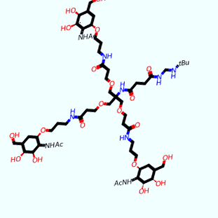 CC(=O)NC1[C@@H](O)[C@@H](O)C(CO)C[C@H]1OCCCNC(=O)CCOCC(COCCC(=O)NCCCO[C@@H]1CC(CO)[C@H](O)[C@H](O)C1NC(C)=O)(COCCC(=O)NCCCO[C@@H]1CC(CO)[C@H](O)[C@H](O)C1NC(C)=O)NC(=O)CCC(=O)NCNC(C)(C)C